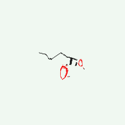 CCC[CH2][Ti]([O]C)[O]C